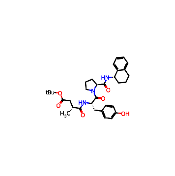 C[C@H](CC(=O)OC(C)(C)C)C(=O)N[C@@H](Cc1ccc(O)cc1)C(=O)N1CCC[C@H]1C(=O)N[C@@H]1CCCc2ccccc21